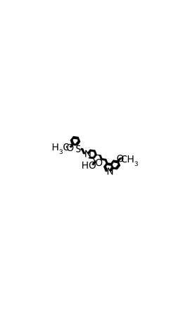 COc1ccc2nccc(CCC[C@@H]3CCN(CCSc4ccccc4OC)C[C@@H]3C(=O)O)c2c1